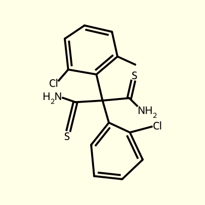 Cc1cccc(Cl)c1C(C(N)=S)(C(N)=S)c1ccccc1Cl